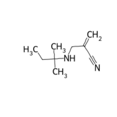 C=C(C#N)CNC(C)(C)CC